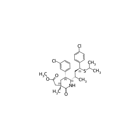 COC(=O)C[C@]1(C)C[C@H](c2cccc(Cl)c2)[C@H](C(C)C[C@H](SC(C)C)c2ccc(Cl)cc2)NC1=O